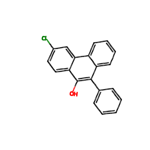 Oc1c(-c2ccccc2)c2ccccc2c2cc(Cl)ccc12